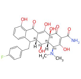 CN(C)[C@@H]1C(O)=C(C(N)=O)C(=O)[C@@]2(O)C(O)=C3C(=O)c4c(O)cccc4C(Cc4ccc(F)cc4)[C@H]3[C@H](O)[C@@H]12